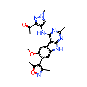 COc1cc2c(cc1-c1c(C)noc1C)[nH]c1nc(C)nc(Nc3cn(C)nc3C(C)=O)c12